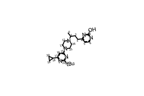 CC(CCc1ccnc(O)n1)N1CCN(c2cc(C3CC3)nc(C(C)(C)C)n2)CC1